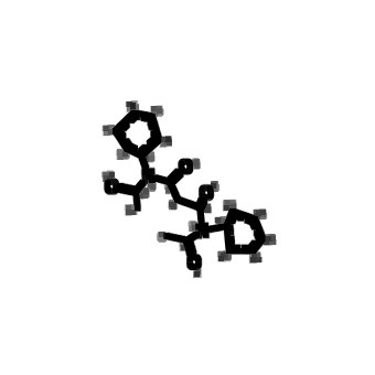 CC(=O)N(C(=O)CC(=O)N(C(C)=O)c1ccccc1)c1ccccc1